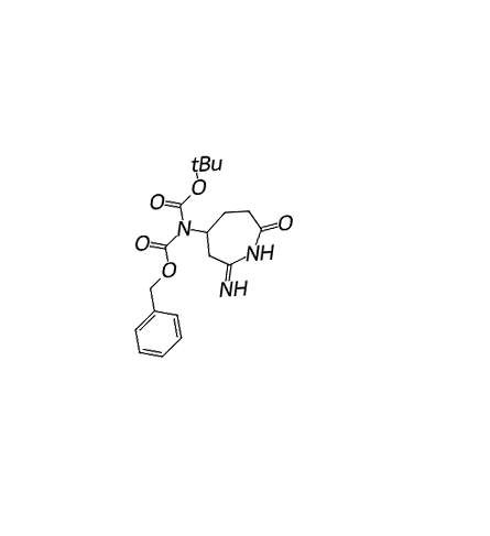 CC(C)(C)OC(=O)N(C(=O)OCc1ccccc1)C1CCC(=O)NC(=N)C1